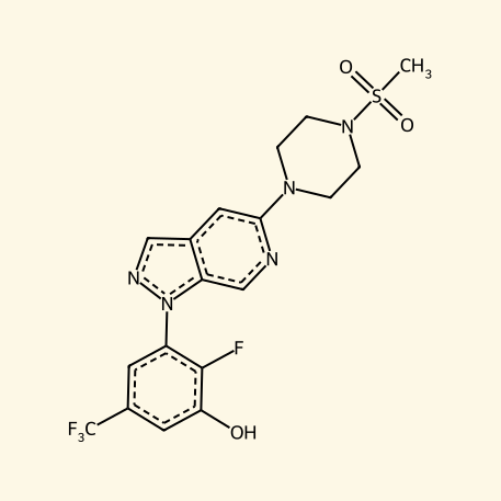 CS(=O)(=O)N1CCN(c2cc3cnn(-c4cc(C(F)(F)F)cc(O)c4F)c3cn2)CC1